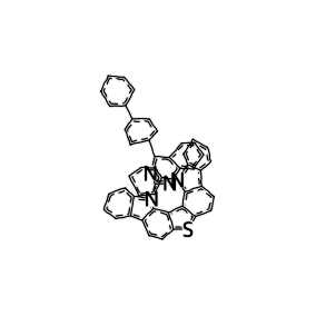 c1ccc(-c2ccc(-c3nc(-n4c5ccccc5c5ccc6sc7ccc8c9ccccc9n(-c9ccccc9)c8c7c6c54)nc4ccccc34)cc2)cc1